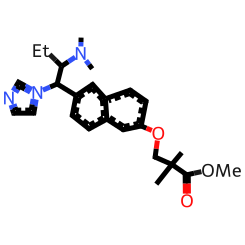 CCC(C(c1ccc2cc(OCC(C)(C)C(=O)OC)ccc2c1)n1ccnc1)N(C)C